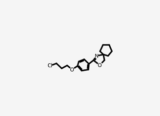 ClCCCOc1ccc(C2=NC3(CCCCC3)CO2)cc1